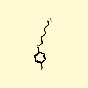 [CH2]CCCCCOc1ccc(F)cc1